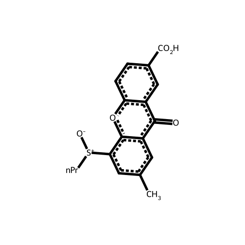 CCC[S+]([O-])c1cc(C)cc2c(=O)c3cc(C(=O)O)ccc3oc12